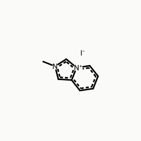 Cn1cc2cccc[n+]2c1.[I-]